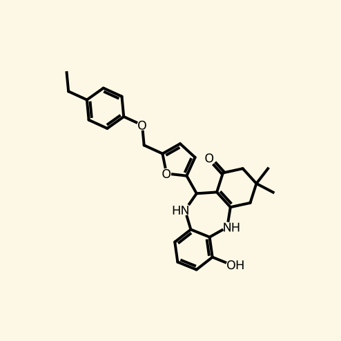 CCc1ccc(OCc2ccc(C3Nc4cccc(O)c4NC4=C3C(=O)CC(C)(C)C4)o2)cc1